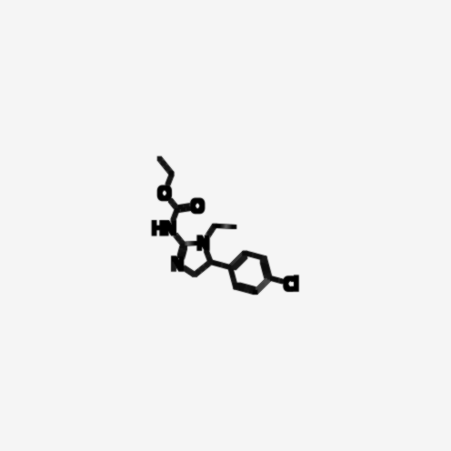 CCOC(=O)NC1=NCC(c2ccc(Cl)cc2)N1CC